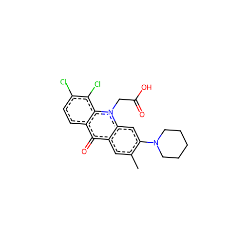 Cc1cc2c(=O)c3ccc(Cl)c(Cl)c3n(CC(=O)O)c2cc1N1CCCCC1